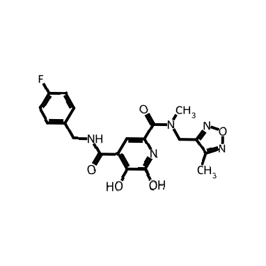 Cc1nonc1CN(C)C(=O)c1cc(C(=O)NCc2ccc(F)cc2)c(O)c(O)n1